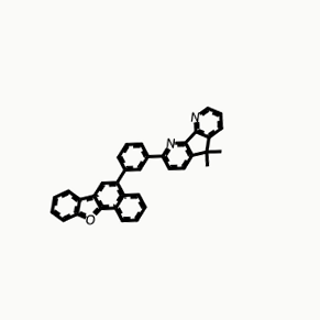 CC1(C)c2cccnc2-c2nc(-c3cccc(-c4cc5c6ccccc6oc5c5ccccc45)c3)ccc21